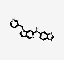 c1cncc(Cn2ccc3cnc(Nc4ccc5ncsc5c4)cc32)c1